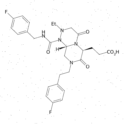 CCN1CC(=O)N2[C@@H](CCC(=O)O)C(=O)N(CCc3ccc(F)cc3)C[C@@H]2N1C(=O)NCc1ccc(F)cc1